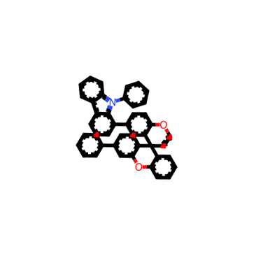 c1ccc(-c2ccc3c(c2)Oc2ccccc2C32c3ccccc3Oc3ccc(-c4cccc5c6ccccc6n(-c6ccccc6)c45)cc32)cc1